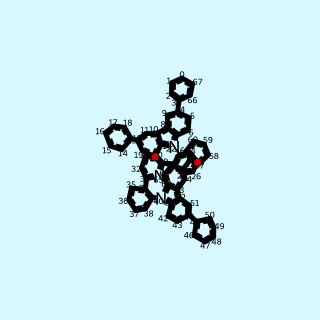 c1ccc(-c2ccc3c(c2)c2cc(-c4ccccc4)ccc2n3-c2ccccc2-c2cccc(-c3ccccc3-n3c4ccc(-c5ccccc5)cc4c4cc(-c5ccccc5)ccc43)n2)cc1